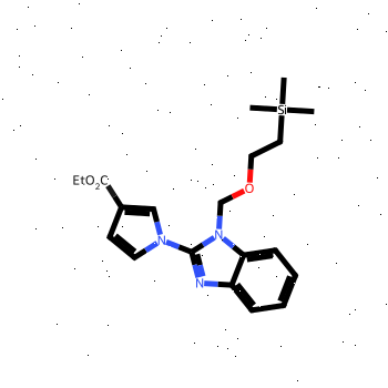 CCOC(=O)c1ccn(-c2nc3ccccc3n2COCC[Si](C)(C)C)c1